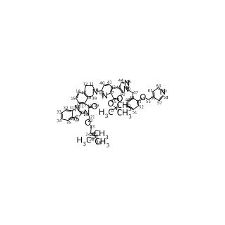 CC(C)(C)OC(=O)c1nc(N2CCc3cccc(C(=O)N(COCC[Si](C)(C)C)c4nc5ccccc5s4)c3C2)ccc1-c1cnn(Cc2ccccc2OCc2ccncc2)c1